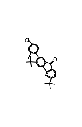 Cc1cc(Cl)ccc1-c1cc2c(cc1C(C)(C)C)-c1cc(C(C)(C)C)ccc1C2=O